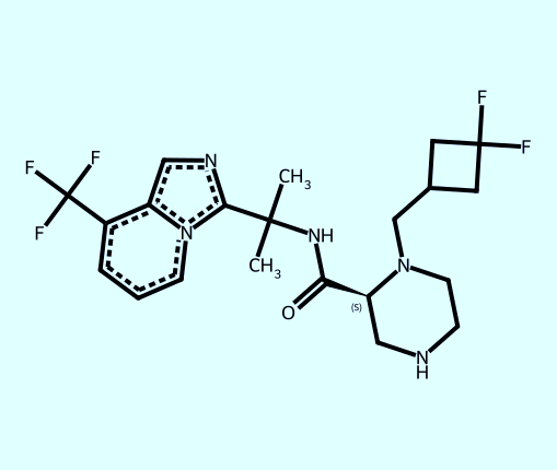 CC(C)(NC(=O)[C@@H]1CNCCN1CC1CC(F)(F)C1)c1ncc2c(C(F)(F)F)cccn12